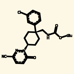 CC(C)(C)OC(=O)NC[C@]1(c2cccc(Cl)c2)CC[C@H](n2nc(C#N)ccc2=O)CC1